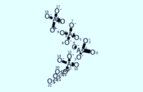 O=[As]([O-])([O-])[O-].O=[As]([O-])([O-])[O-].O=[As]([O-])([O-])[O-].O=[As]([O-])([O-])[O-].[Os+4].[Os+4].[Os+4]